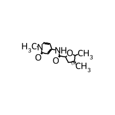 CC1OC(C(=O)Nc2ccn(C)c(=O)c2)C[C@@H]1C